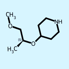 COC[C@H](C)OC1CCNCC1